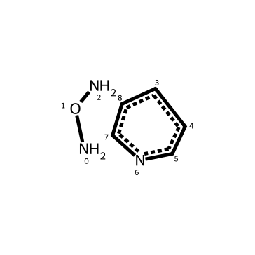 NON.c1ccncc1